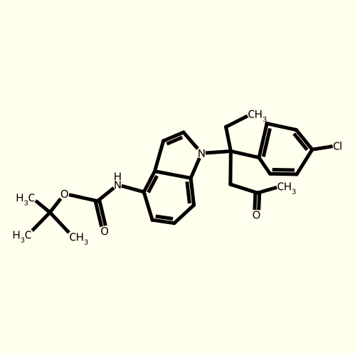 CCC(CC(C)=O)(c1ccc(Cl)cc1)n1ccc2c(NC(=O)OC(C)(C)C)cccc21